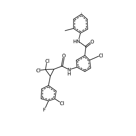 Cc1c[c]ccc1NC(=O)c1cc(NC(=O)C2C(c3ccc(F)c(Cl)c3)C2(Cl)Cl)ccc1Cl